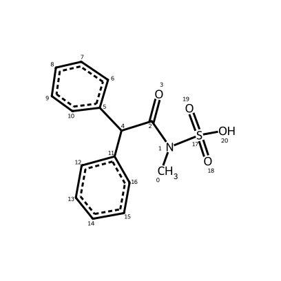 CN(C(=O)C(c1ccccc1)c1ccccc1)S(=O)(=O)O